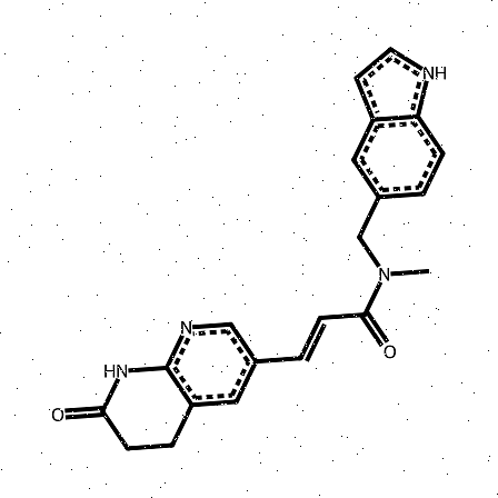 CN(Cc1ccc2[nH]ccc2c1)C(=O)/C=C/c1cnc2c(c1)CCC(=O)N2